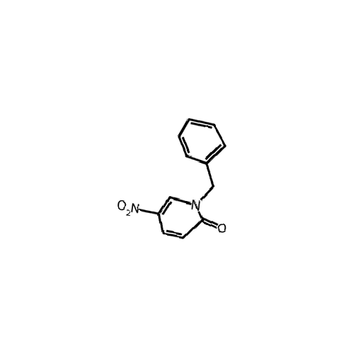 O=c1ccc([N+](=O)[O-])cn1Cc1ccccc1